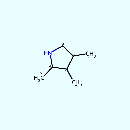 CC1CNC(C)C1C